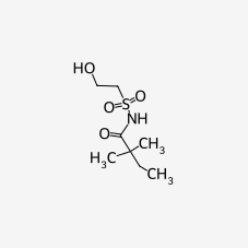 CCC(C)(C)C(=O)NS(=O)(=O)CCO